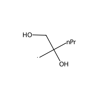 [CH2]C(O)(CO)CCC